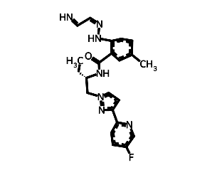 CC[C@@H](Cn1ccc(-c2ccc(F)cn2)n1)NC(=O)c1cc(C)ccc1N/N=C\C=N